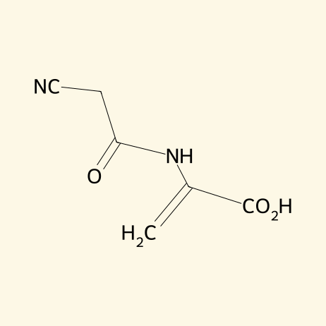 C=C(NC(=O)CC#N)C(=O)O